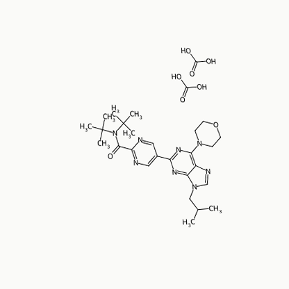 CC(C)Cn1cnc2c(N3CCOCC3)nc(-c3cnc(C(=O)N(C(C)(C)C)C(C)(C)C)nc3)nc21.O=C(O)O.O=C(O)O